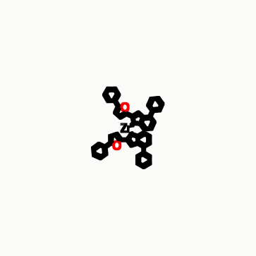 C1=C(c2ccc(-c3ccccc3)o2)[CH]([Zr][CH]2C(c3ccc(-c4ccccc4)o3)=Cc3c(-c4ccccc4)cccc32)c2cccc(-c3ccccc3)c21